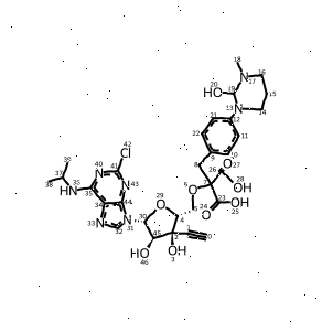 C#C[C@@]1(O)[C@@H](COC(Cc2ccc(N3CCCN(C)C3O)cc2)(C(=O)O)C(=O)O)O[C@@H](n2cnc3c(NC(C)C)nc(Cl)nc32)[C@@H]1O